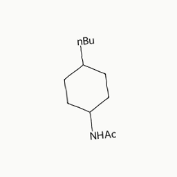 CCCCC1CCC(NC(C)=O)CC1